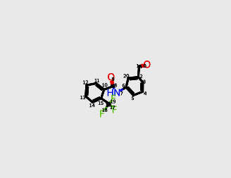 O=Cc1cccc(NC(=O)c2ccccc2C(F)(F)F)c1